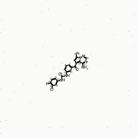 CC(C)c1cc(C(=O)c2cccc(NC(=O)Nc3ccc(F)c(Cl)c3)c2)c2c(N)ncnn12